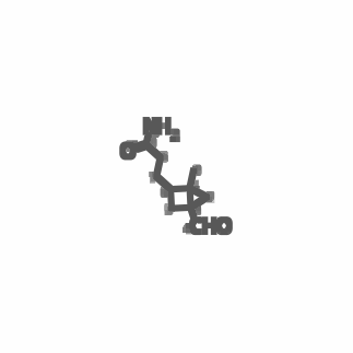 CC12CC1(C=O)CC2CCC(N)=O